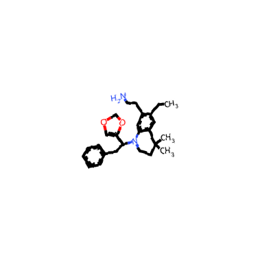 CCc1cc2c(cc1CCN)N(C(Cc1ccccc1)C1=COCO1)CCC2(C)C